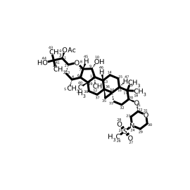 CC(=O)O[C@@H]([C@H]1C[C@@H](C)C2[C@H](O1)[C@H](O)[C@@]1(C)[C@@H]3CC[C@H]4C(C)(C)[C@@H](O[C@H]5CN(S(C)(=O)=O)CCO5)CC[C@@]45C[C@@]35CC[C@]21C)C(C)(C)O